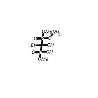 CCC(O)(P(=O)(O)OC)P(=O)(OC)ON